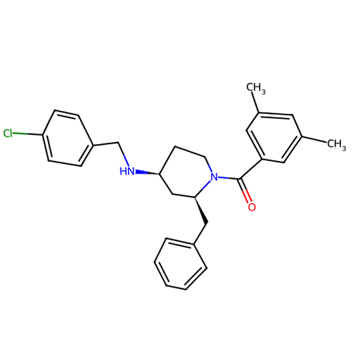 Cc1cc(C)cc(C(=O)N2CC[C@H](NCc3ccc(Cl)cc3)C[C@@H]2Cc2ccccc2)c1